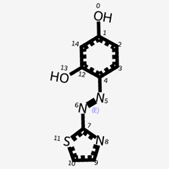 Oc1ccc(/N=N/c2nccs2)c(O)c1